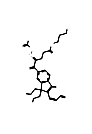 C=C/C=C\C1=C(C)c2ccc(C(=O)/C(CCC(=O)OCCCC)=N/OC(C)=O)cc2C1(CCC)CCC